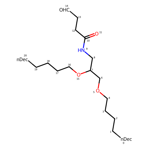 CCCCCCCCCCCCCCOCC(CNC(=O)CCC=O)OCCCCCCCCCCCCCC